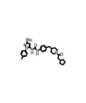 Cc1ccc(-n2nc(C(C)(C)C)cc2NC(=O)Nc2ccc(CC3CCN(C(=O)CC4CCCC4)CC3)cc2)cc1